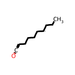 CCC[CH]CCCCC=C=O